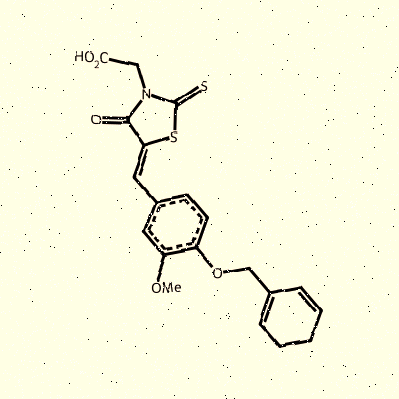 COc1cc(/C=C2\SC(=S)N(CC(=O)O)C2=O)ccc1OCC1=CCCC=C1